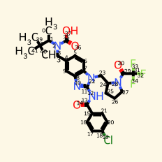 CC(N(Cc1ccc2c(c1)nc(NC(=O)c1ccc(Cl)cc1)n2CC1CCCN1C(=O)C(F)(F)F)C(=O)O)C(C)(C)C